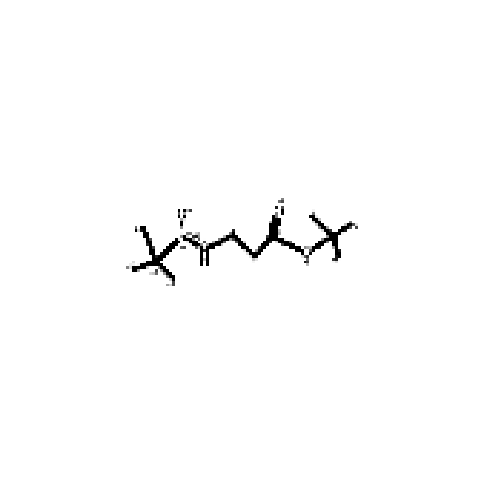 CC(C)(C)OC(=O)CCN[S@@+]([O-])C(C)(C)C